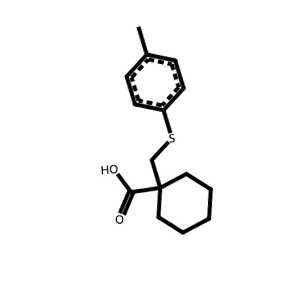 Cc1ccc(SCC2(C(=O)O)CCCCC2)cc1